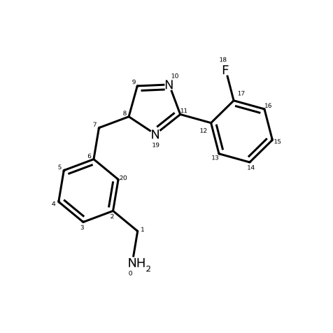 NCc1cccc(CC2C=NC(c3ccccc3F)=N2)c1